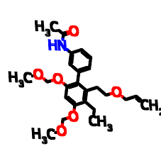 C=CCOCCc1c(CC)c(OCOC)cc(OCOC)c1-c1cccc(NC(C)=O)c1